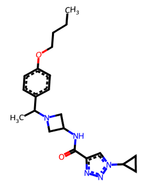 CCCCOc1ccc(C(C)N2CC(NC(=O)c3cn(C4CC4)nn3)C2)cc1